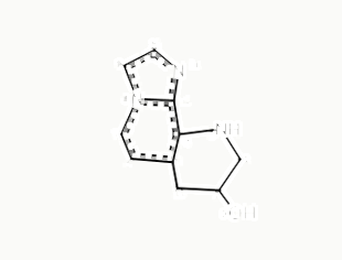 OC1CNc2c(ccn3ccnc23)C1